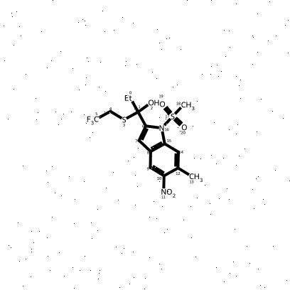 CCC(O)(SCC(F)(F)F)c1cc2cc([N+](=O)[O-])c(C)cc2n1S(C)(=O)=O